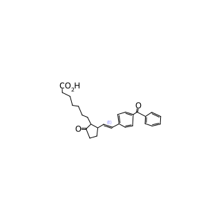 O=C(O)CCCCCCC1C(=O)CCC1/C=C/c1ccc(C(=O)c2ccccc2)cc1